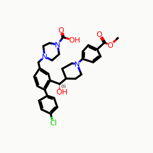 COC(=O)c1ccc(N2CCC([C@H](O)c3cc(CN4CCN(C(=O)O)CC4)ccc3-c3ccc(Cl)cc3)CC2)cc1